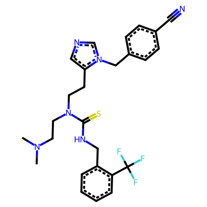 CN(C)CCN(CCc1cncn1Cc1ccc(C#N)cc1)C(=S)NCc1ccccc1C(F)(F)F